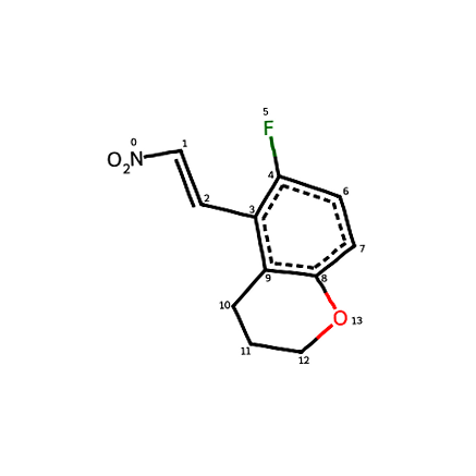 O=[N+]([O-])C=Cc1c(F)ccc2c1CCCO2